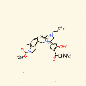 COC(=O)c1ccc([C@@H]2CN(CCC(F)(F)F)CCN2Cc2c(OC)cc(C)c3c2ccn3C(=O)OC(C)(C)C)cc1O